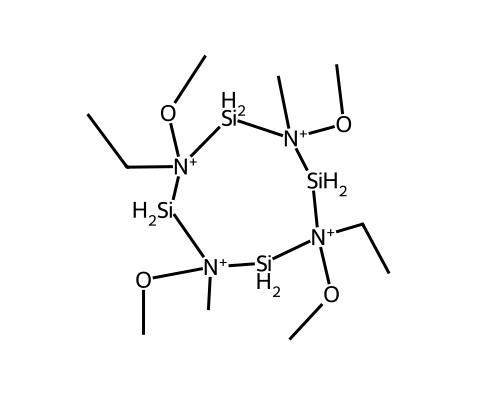 CC[N+]1(OC)[SiH2][N+](C)(OC)[SiH2][N+](CC)(OC)[SiH2][N+](C)(OC)[SiH2]1